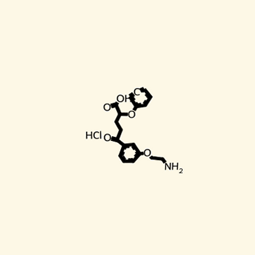 Cl.NCCOc1cccc(C(=O)CCC(Oc2ccccc2)C(=O)O)c1